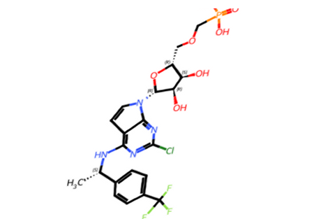 C[C@H](Nc1nc(Cl)nc2c1ccn2[C@@H]1O[C@H](COCP(=O)(O)O)[C@@H](O)[C@H]1O)c1ccc(C(F)(F)F)cc1